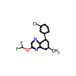 Cc1cc(-c2cccc(Cl)c2)c2ncc(OC(F)F)nc2c1